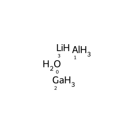 O.[AlH3].[GaH3].[LiH]